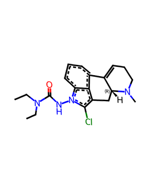 CCN(CC)C(=O)Nn1c(Cl)c2c3c(cccc31)C1=CCCN(C)[C@@H]1C2